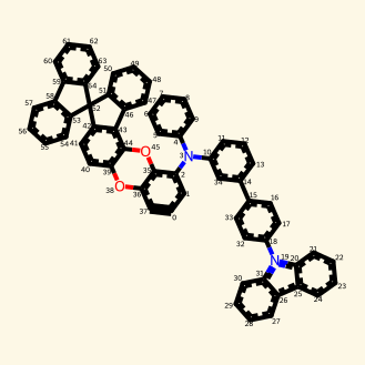 c1cc(N(c2ccccc2)c2cccc(-c3ccc(-n4c5ccccc5c5ccccc54)cc3)c2)c2c(c#1)Oc1ccc3c(c1O2)-c1ccccc1C31c2ccccc2-c2ccccc21